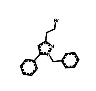 BrCCc1cc(-c2ccccc2)n(Cc2ccccc2)n1